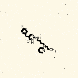 CCCN(CCCCNc1ncc(Cc2ccc(F)cc2)c(=O)[nH]1)c1ccccn1